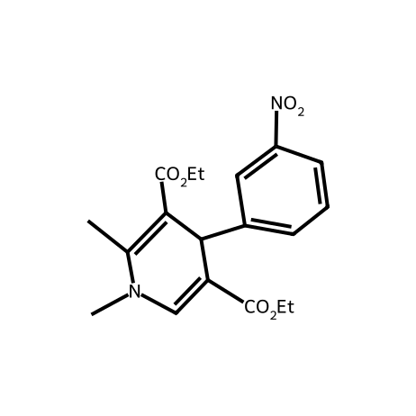 CCOC(=O)C1=CN(C)C(C)=C(C(=O)OCC)C1c1cccc([N+](=O)[O-])c1